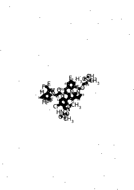 Cn1nc(NS(C)(=O)=O)c2c(Cl)ccc(-c3cc4ccn(COCC[Si](C)(C)C)c4nc3C(Cc3cc(F)cc(F)c3)NC(=O)Cn3nc(C(F)F)c4c3C(F)(F)[C@@H]3C[C@H]43)c21